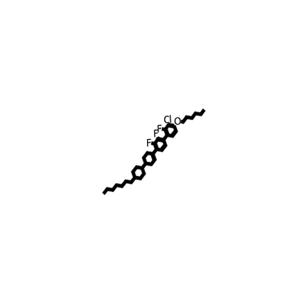 CCCCCCCC1CCC(C2CC=C(c3ccc(-c4ccc(OCCCCCC)c(Cl)c4F)c(F)c3F)CC2)CC1